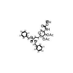 CC(=O)O[C@H]1[C@H](OC(C)=O)[C@@H](CCP(=O)(OCc2ccccc2)OCc2ccccc2)OC[C@H]1NC(=O)OC(C)(C)C